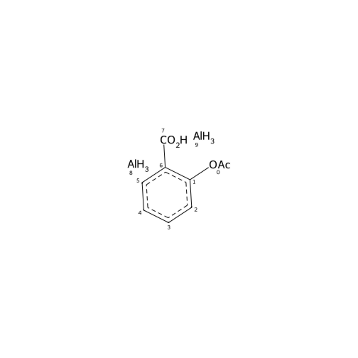 CC(=O)Oc1ccccc1C(=O)O.[AlH3].[AlH3]